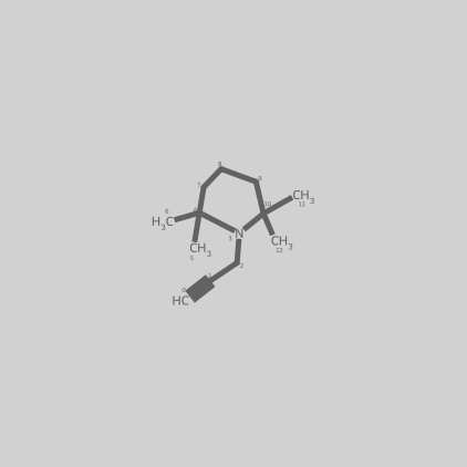 C#CCN1C(C)(C)CCCC1(C)C